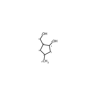 CC1CC(O)C(CO)C1